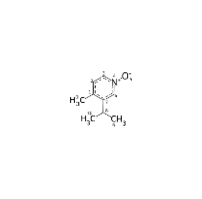 Cc1cc[n+]([O-])cc1C(C)C